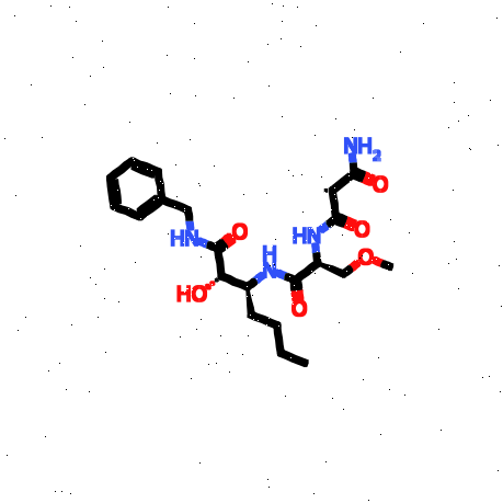 CCCC[C@H](NC(=O)[C@H](COC)NC(=O)[CH]C(N)=O)[C@H](O)C(=O)NCc1ccccc1